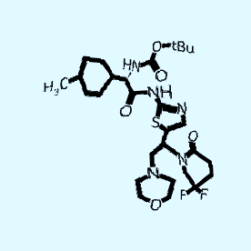 CC1CCC([C@H](NC(=O)OC(C)(C)C)C(=O)Nc2ncc(C(CN3CCOCC3)N3CC(F)(F)CCC3=O)s2)CC1